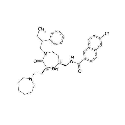 CCC(CN1CC[C@@H](CNC(=O)c2ccc3cc(Cl)ccc3c2)N[C@@H](CCN2CCCCCC2)C1=O)c1ccccc1